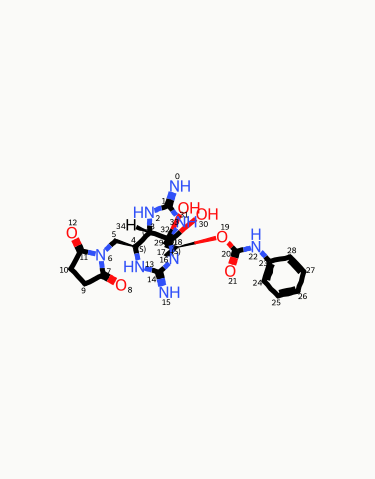 N=C1N[C@H]2[C@H](CN3C(=O)CCC3=O)NC(=N)N3C[C@H](OC(=O)Nc4ccccc4)C(O)(O)[C@]23N1